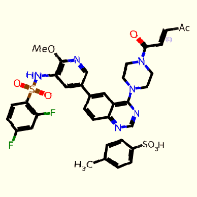 COc1ncc(-c2ccc3ncnc(N4CCN(C(=O)/C=C/C(C)=O)CC4)c3c2)cc1NS(=O)(=O)c1ccc(F)cc1F.Cc1ccc(S(=O)(=O)O)cc1